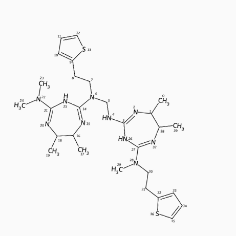 CC1N=C(NCN(CCc2cccs2)C2=NC(C)C(C)N=C(N(C)C)N2)NC(N(C)CCc2cccs2)=NC1C